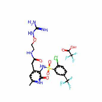 Cc1cc(CC(=O)NCCONC(=N)N)c(NS(=O)(=O)c2cc(C(F)(F)F)ccc2Cl)c(=O)[nH]1.O=C(O)C(F)(F)F